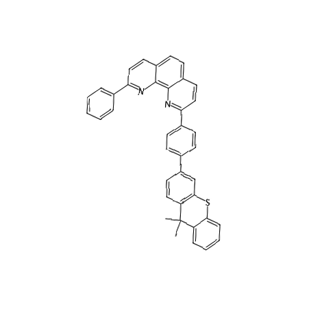 CC1(C)c2ccccc2Sc2cc(-c3ccc(-c4ccc5ccc6ccc(-c7ccccc7)nc6c5n4)cc3)ccc21